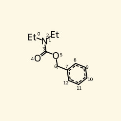 CCN(CC)C(=O)O[CH]c1ccccc1